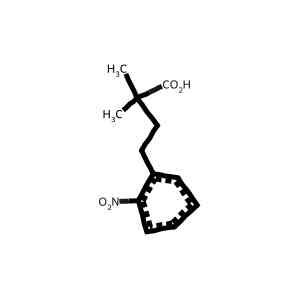 CC(C)(CCc1ccccc1[N+](=O)[O-])C(=O)O